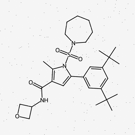 Cc1c(C(=O)NC2COC2)cc(-c2cc(C(C)(C)C)cc(C(C)(C)C)c2)n1S(=O)(=O)N1CCCCCC1